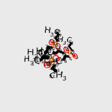 CCCCP(=O)(CCCC)OCC(OP(=O)(CCCC)CCCC)C(C)OP(=O)(CCCC)CCCC